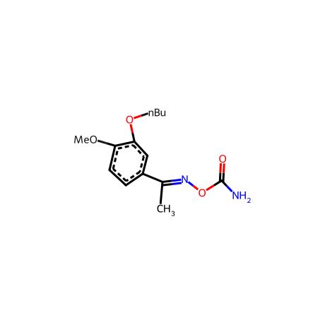 CCCCOc1cc(C(C)=NOC(N)=O)ccc1OC